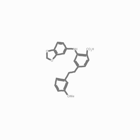 COc1cccc(CCc2ccc(C(=O)O)c(Nc3ccc4c(c3)OCO4)c2)c1